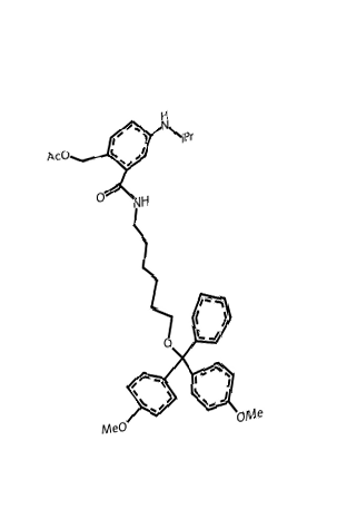 COc1ccc(C(OCCCCCCNC(=O)c2cc(NC(C)C)ccc2COC(C)=O)(c2ccccc2)c2ccc(OC)cc2)cc1